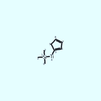 C[Si](C)(C)[Ti][C]1=CC=CC1